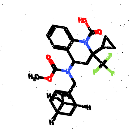 COC(=O)N(CC1=CC[C@H]2C[C@@H]1C2(C)C)C1CC(C2CC2)(C(F)(F)F)N(C(=O)O)c2ccccc21